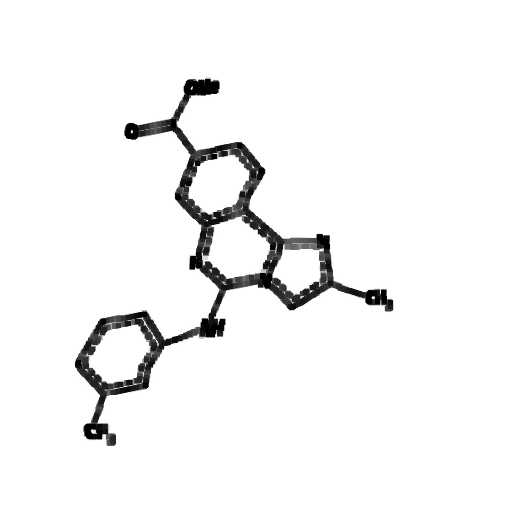 COC(=O)c1ccc2c(c1)nc(Nc1cccc(C(F)(F)F)c1)n1cc(C)nc21